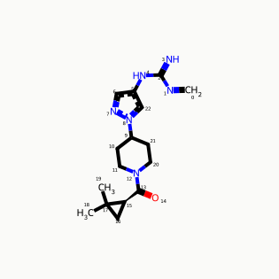 C=NC(=N)Nc1cnn(C2CCN(C(=O)[C@H]3CC3(C)C)CC2)c1